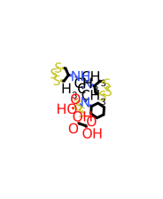 CN(C)C1CSSSC1.CN(C1CCCCC1)S(=O)(O)=S.CNC1CSSSC1.O=C(O)C(=O)O